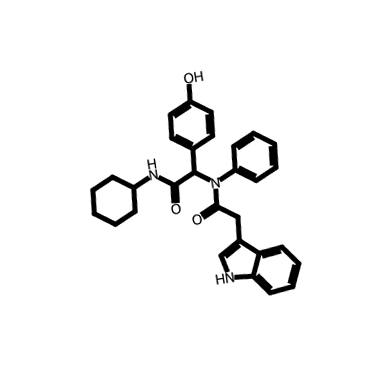 O=C(NC1CCCCC1)C(c1ccc(O)cc1)N(C(=O)Cc1c[nH]c2ccccc12)c1ccccc1